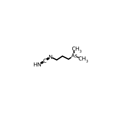 C[As](C)CCCN=C=N